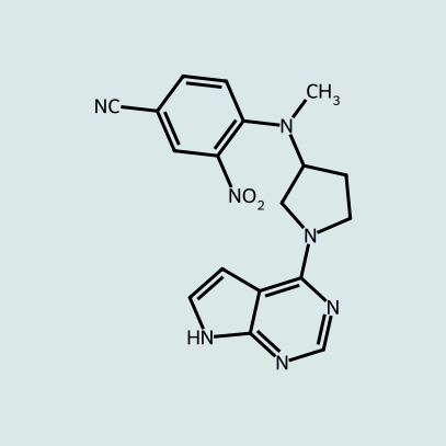 CN(c1ccc(C#N)cc1[N+](=O)[O-])C1CCN(c2ncnc3[nH]ccc23)C1